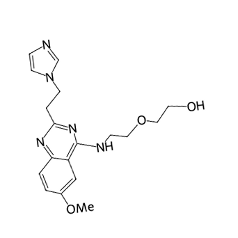 COc1ccc2nc(CCn3ccnc3)nc(NCCOCCO)c2c1